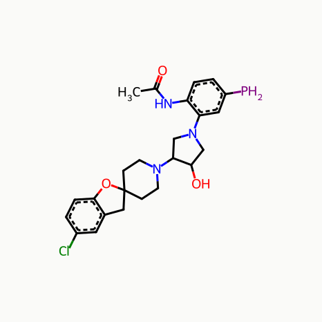 CC(=O)Nc1ccc(P)cc1N1CC(O)C(N2CCC3(CC2)Cc2cc(Cl)ccc2O3)C1